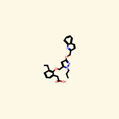 CCCn1nc(OCc2ccc3ccccc3n2)cc1COc1c(CC)cccc1CC(=O)O